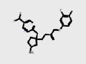 C=C(/C=C\C(=C/C)C(F)F)CC1(CCC(=C)COc2ccc(C)c(F)c2)CCC(N)C1